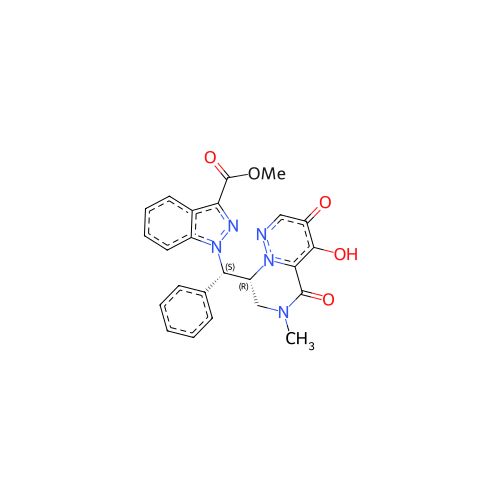 COC(=O)c1nn([C@@H](c2ccccc2)[C@H]2CN(C)C(=O)c3c(O)c(=O)cnn32)c2ccccc12